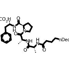 CCCCCCCCCCCCCC(=O)N[C@H](C)C(=O)N[C@H](C)C(=O)N1CCC[C@@H]1C(=O)N[C@H](Cc1ccccc1)C(=O)O